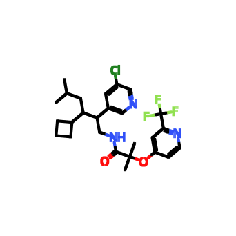 CC(C)CC(C1CCC1)C(CNC(=O)C(C)(C)Oc1ccnc(C(F)(F)F)c1)c1cncc(Cl)c1